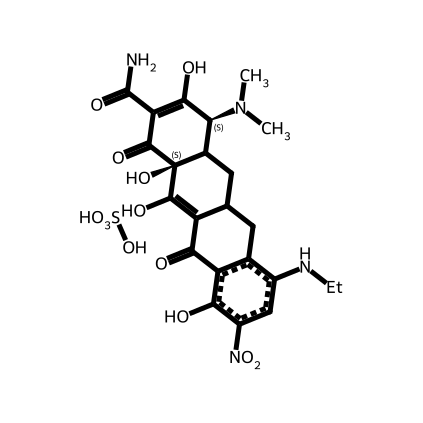 CCNc1cc([N+](=O)[O-])c(O)c2c1CC1CC3[C@H](N(C)C)C(O)=C(C(N)=O)C(=O)[C@@]3(O)C(O)=C1C2=O.O=S(=O)(O)O